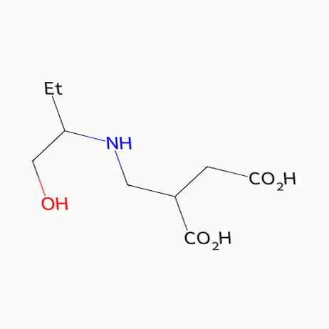 CCC(CO)NCC(CC(=O)O)C(=O)O